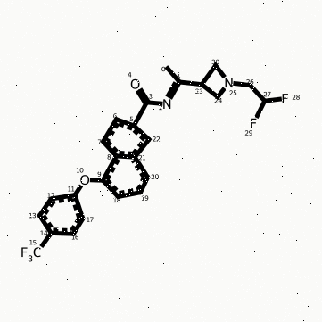 C/C(=N\C(=O)c1ccc2c(Oc3ccc(C(F)(F)F)cc3)cccc2c1)C1CN(CC(F)F)C1